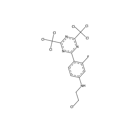 Fc1cc(NCCCl)ccc1-c1nc(C(Cl)(Cl)Cl)nc(C(Cl)(Cl)Cl)n1